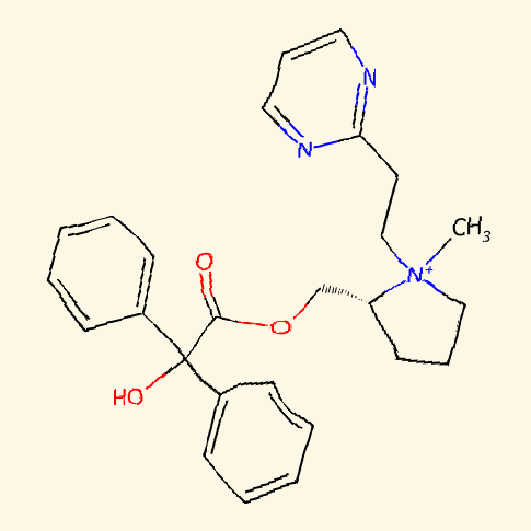 C[N+]1(CCc2ncccn2)CCC[C@@H]1COC(=O)C(O)(c1ccccc1)c1ccccc1